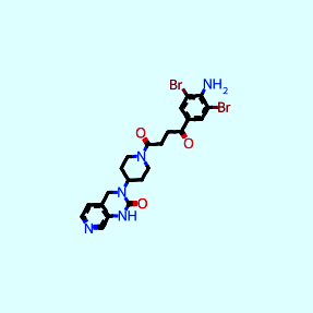 Nc1c(Br)cc(C(=O)CCC(=O)N2CCC(N3Cc4ccncc4NC3=O)CC2)cc1Br